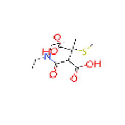 CCN(CC)C(=O)C(C(=O)O)C(C)(SC)C(=O)O